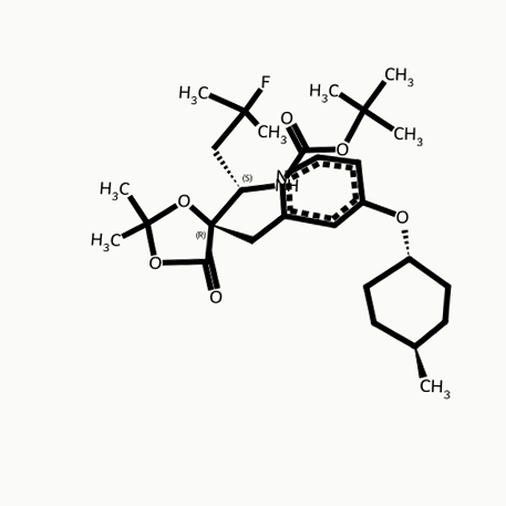 CC(C)(F)C[C@H](NC(=O)OC(C)(C)C)[C@@]1(Cc2cc(O[C@H]3CC[C@H](C)CC3)ccn2)OC(C)(C)OC1=O